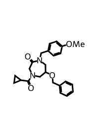 COc1ccc(CN2CC(OCc3ccccc3)CN(C(=O)C3CC3)CC2=O)cc1